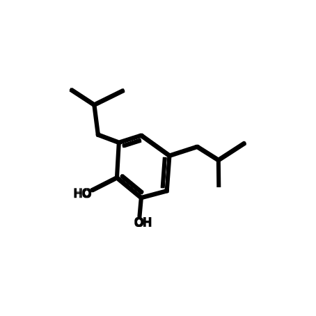 CC(C)Cc1cc(O)c(O)c(CC(C)C)c1